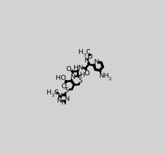 CON=C(C(=O)NC1C(=O)N2C(C(=O)O)=C(CSc3nnnn3C)CS[C@@H]12)c1cc(N)ccn1